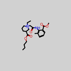 CCCCOC(=O)C1CCC[N+](CC)(CC(=O)Nc2c(C)cccc2C(=O)OC)C1